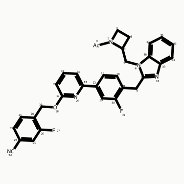 CC(=O)N1CCC1Cn1c(Cc2ccc(-c3cccc(OCc4ccc(C#N)cc4F)n3)cc2F)nc2ccccc21